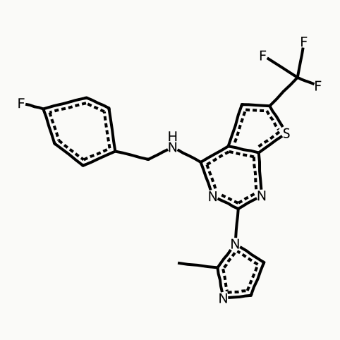 Cc1nccn1-c1nc(NCc2ccc(F)cc2)c2cc(C(F)(F)F)sc2n1